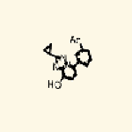 CC(=O)c1cccc(-c2ccc(O)c3nc(C4CC4)nn23)c1